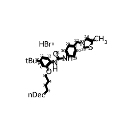 Br.CCCCCCCCCCCCCCOc1cc(C(C)(C)C)ccc1NC(=O)Nc1ccc(CN2C=C(C)SC2)cc1